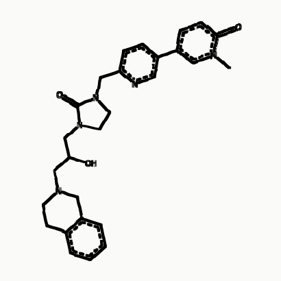 Cn1cc(-c2ccc(CN3CCN(CC(O)CN4CCc5ccccc5C4)C3=O)nc2)ccc1=O